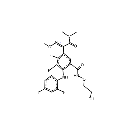 CO/N=C(/C(=O)N(C)C)c1cc(C(=O)NOCCO)c(Nc2ccc(I)cc2F)c(F)c1F